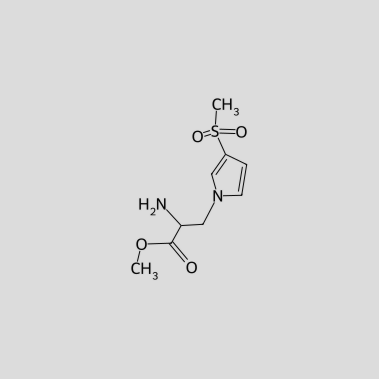 COC(=O)C(N)Cn1ccc(S(C)(=O)=O)c1